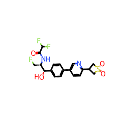 O=C(N[C@H](CF)[C@H](O)c1ccc(-c2ccc(C3CS(=O)(=O)C3)nc2)cc1)C(F)F